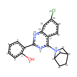 Oc1ccccc1-c1nc(N2CC3CCC2C3)c2ccc(Cl)cc2n1